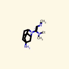 C=N/C=C(\N(C)CC)N1C2CC3CC1CC(N)(C3)C2